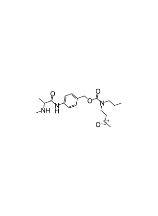 CCCN(CC[S+](C)[O-])C(=O)OCc1ccc(NC(=O)C(C)NC)cc1